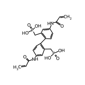 C=CC(=O)Nc1ccc(-c2ccc(NC(=O)C=C)cc2CP(=O)(O)O)c(CP(=O)(O)O)c1